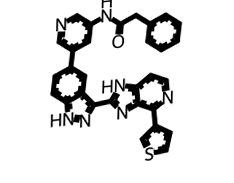 O=C(Cc1ccccc1)Nc1cncc(-c2ccc3[nH]nc(-c4nc5c(-c6ccsc6)nccc5[nH]4)c3c2)c1